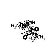 CC(C)C(=O)OC[C@H](Cc1c[nH]c2ccccc12)NP(=O)(OC[C@H]1O[C@@H](n2ccc(N)nc2=O)[C@](C)(O)[C@@H]1O)Oc1ccccc1